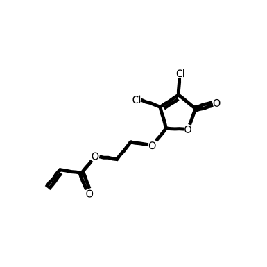 C=CC(=O)OCCOC1OC(=O)C(Cl)=C1Cl